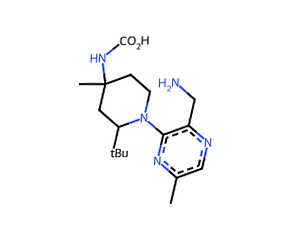 Cc1cnc(CN)c(N2CCC(C)(NC(=O)O)CC2C(C)(C)C)n1